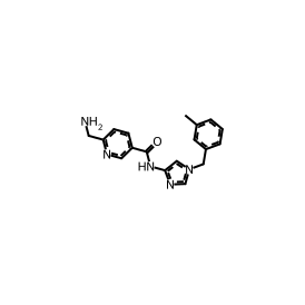 Cc1cccc(Cn2cnc(NC(=O)c3ccc(CN)nc3)c2)c1